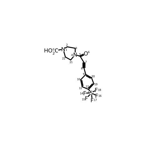 O=C(O)N1CCN(C(=O)C#Cc2ccc(S(F)(F)(F)(F)F)cc2)CC1